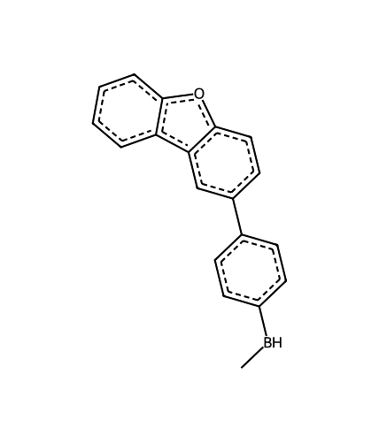 CBc1ccc(-c2ccc3oc4ccccc4c3c2)cc1